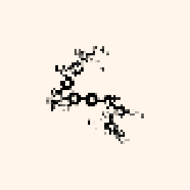 COC(=O)NC(C(=O)N1CC(C)=CC1c1nc(-c2ccc(-c3ccc(N(OC(F)(F)F)C(=O)c4ccc(N5CCN(C(=O)OC(C)(C)C)CC5C)nc4)c(Cl)c3)cc2)c[nH]1)C(C)C